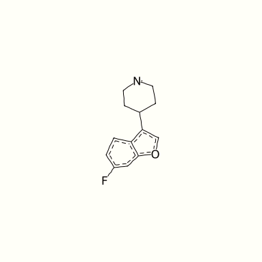 Fc1ccc2c(C3CC[N]CC3)coc2c1